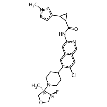 Cn1ccc(C2CC2C(=O)Nc2cc3cc(C4CCN([C@]5(C)COC[C@@H]5F)CC4)c(Cl)cc3cn2)n1